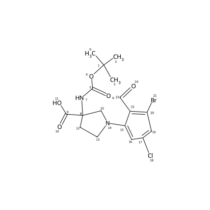 CC(C)(C)OC(=O)NC1(C(=O)O)CCN(c2cc(Cl)cc(Br)c2C=O)C1